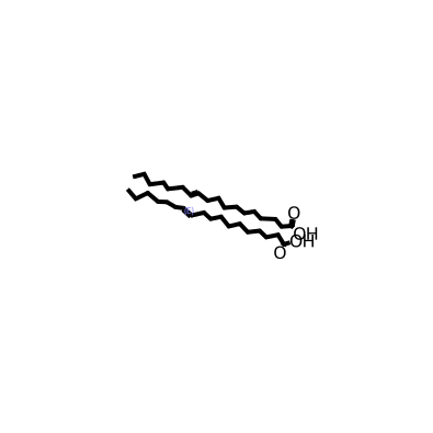 CCCCCC/C=C/CCCCCCCCCC(=O)O.CCCCCCC=CCCCCCCCCCC(=O)O